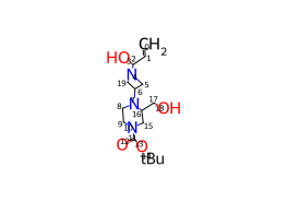 C=CC(O)N1CC(N2CCN(C(=O)OC(C)(C)C)CC2CO)C1